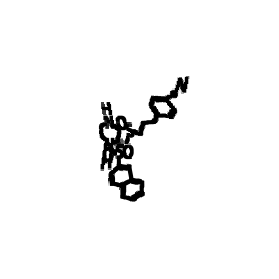 N#Cc1ccc(CCCSC[C@]2(S(=O)(=O)c3ccc4ccccc4c3)NCCNC2=O)cc1